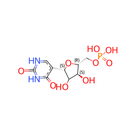 O=c1[nH]cc([C@@H]2O[C@H](COP(=O)(O)O)[C@@H](O)C2O)c(=O)[nH]1